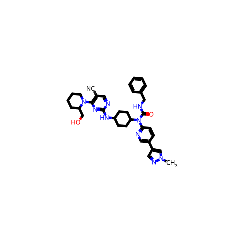 Cn1cc(-c2ccc(N(C(=O)NCc3ccccc3)C3CCC(Nc4ncc(C#N)c(N5CCCCC5CO)n4)CC3)nc2)cn1